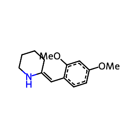 COc1ccc(C=C2CCCCN2)c(OC)c1